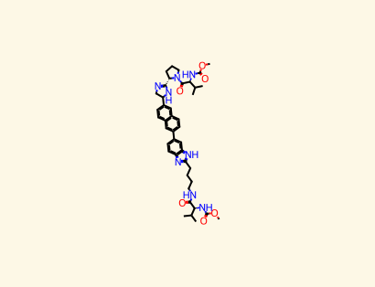 COC(=O)N[C@H](C(=O)NCCCCc1nc2ccc(-c3ccc4cc(C5CN=C([C@@H]6CCCN6C(=O)[C@@H](NC(=O)OC)C(C)C)N5)ccc4c3)cc2[nH]1)C(C)C